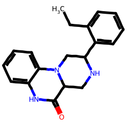 CCc1ccccc1C1CN2c3ccccc3NC(=O)C2CN1